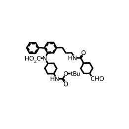 CC(C)(C)OC(=O)NC1CCC(N(C(=O)O)c2cc(CCCNC(=O)C3CCC(C=O)CC3)ccc2-c2ccccc2)CC1